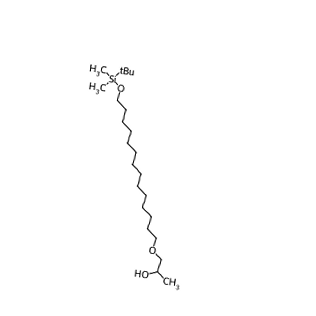 CC(O)COCCCCCCCCCCCCCCO[Si](C)(C)C(C)(C)C